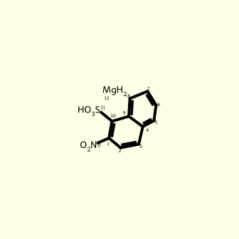 O=[N+]([O-])c1ccc2ccccc2c1S(=O)(=O)O.[MgH2]